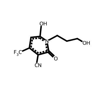 N#Cc1c(C(F)(F)F)cc(O)n(CCCO)c1=O